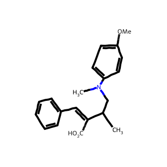 COc1ccc(N(C)CC(C)C(=Cc2ccccc2)C(=O)O)cc1